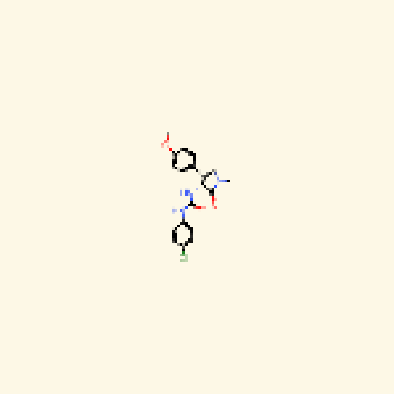 COc1ccc([C@H]2CN(C)C(=O)[C@@H]2NC(=O)Nc2ccc(Cl)cc2)cc1